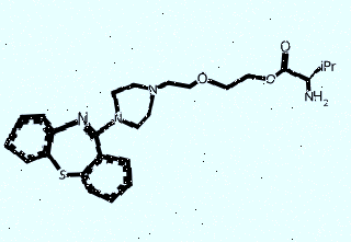 CC(C)[C@@H](N)C(=O)OCCOCCN1CCN(C2=Nc3ccccc3Sc3ccccc32)CC1